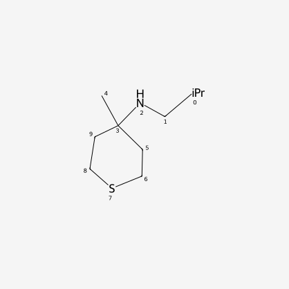 CC(C)CNC1(C)CCSCC1